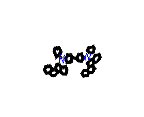 c1ccc(N(c2ccc(-c3ccc(N(c4ccccc4)c4cc5c6ccccc6ccc5c5ccccc45)cc3)cc2)c2cc3c4ccccc4ccc3c3ccccc23)cc1